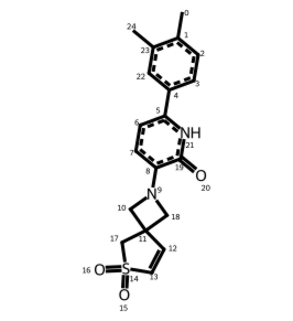 Cc1ccc(-c2ccc(N3CC4(C=CS(=O)(=O)C4)C3)c(=O)[nH]2)cc1C